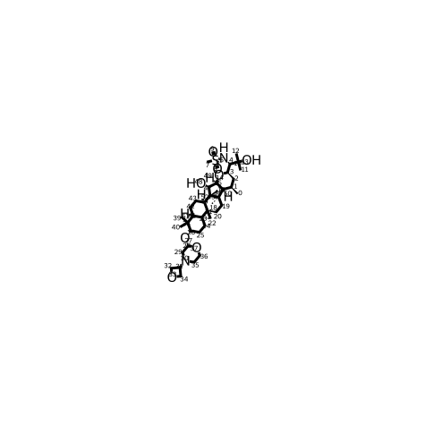 C[C@@H]1C[C@H]([C@H](NS(C)(=O)=O)C(C)(C)O)O[C@H]2[C@H]1[C@@]1(C)CC[C@@]34C[C@@]35CCC(O[C@H]3CN(C6COC6)CCO3)C(C)(C)[C@@H]5CC[C@H]4[C@]1(C)[C@H]2O